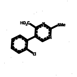 CSc1ncc(-c2ccccc2Cl)c(C(=O)O)n1